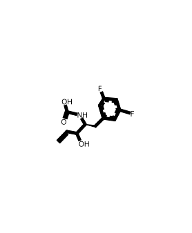 C=CC(O)[C@H](Cc1cc(F)cc(F)c1)NC(=O)O